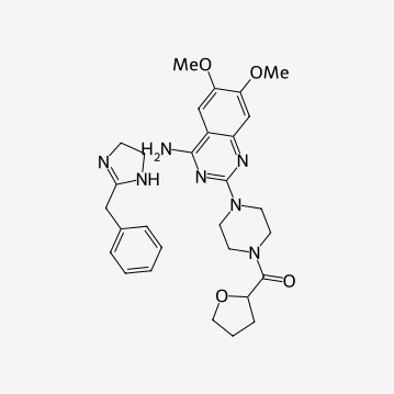 COc1cc2nc(N3CCN(C(=O)C4CCCO4)CC3)nc(N)c2cc1OC.c1ccc(CC2=NCCN2)cc1